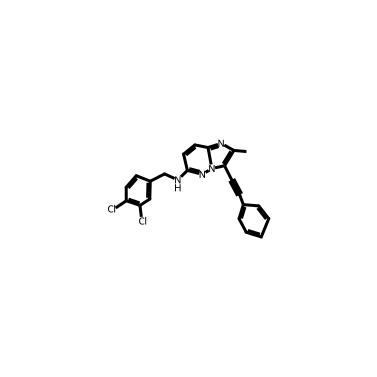 Cc1nc2ccc(NCc3ccc(Cl)c(Cl)c3)nn2c1C#Cc1ccccc1